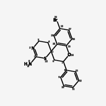 NC1=NCCC2(CC(c3ccccc3)Oc3ccc(Br)cc32)S1